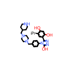 CC(C)c1cc(-c2nnc(O)n2-c2ccc(CN3CCN(CC4CCNCC4)CC3)cc2)c(O)cc1O